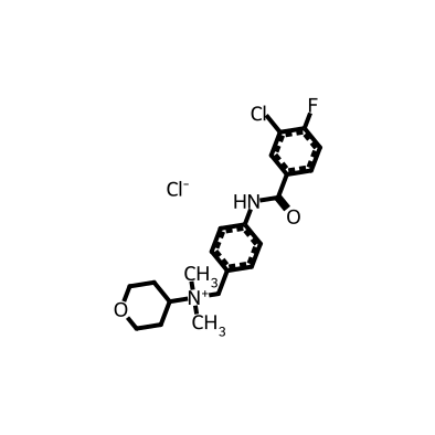 C[N+](C)(Cc1ccc(NC(=O)c2ccc(F)c(Cl)c2)cc1)C1CCOCC1.[Cl-]